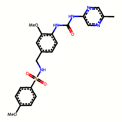 COc1ccc(S(=O)(=O)NCc2ccc(NC(=O)Nc3cnc(C)cn3)c(OC)c2)cc1